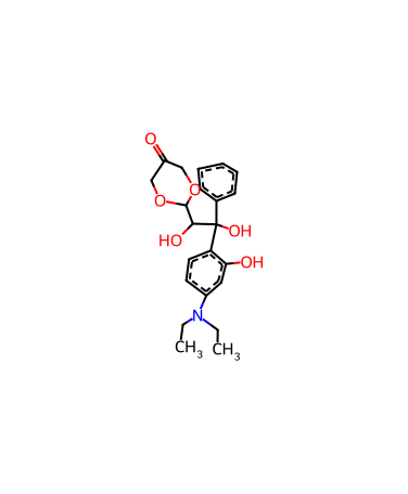 CCN(CC)c1ccc(C(O)(c2ccccc2)C(O)C2OCC(=O)CO2)c(O)c1